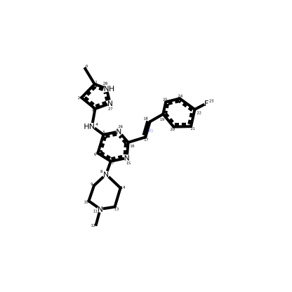 Cc1cc(Nc2cc(N3CCN(C)CC3)nc(/C=C/c3ccc(F)cc3)n2)n[nH]1